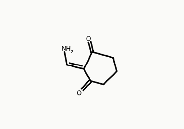 NC=C1C(=O)CCCC1=O